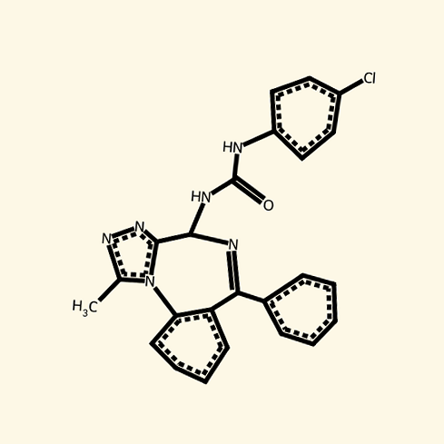 Cc1nnc2n1-c1ccccc1C(c1ccccc1)=NC2NC(=O)Nc1ccc(Cl)cc1